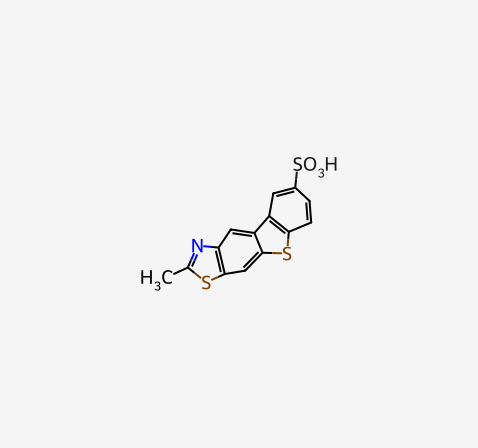 Cc1nc2cc3c(cc2s1)sc1ccc(S(=O)(=O)O)cc13